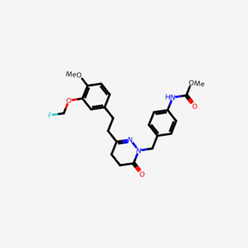 COC(=O)Nc1ccc(CN2N=C(CCc3ccc(OC)c(OCF)c3)CCC2=O)cc1